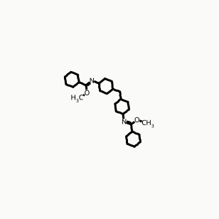 CO/C(=N\C1CCC(CC2CCC(/N=C(\OC)C3CCCCC3)CC2)CC1)C1CCCCC1